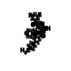 CN1CCN(c2ccc(C(=O)Nc3n[nH]c4ncc([S+]([O-])c5cc(F)cc(F)c5)nc34)c(NC3CCOCC3)c2)CC1